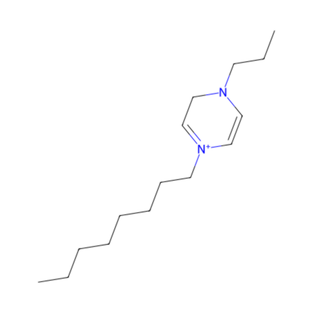 CCCCCCCC[N+]1=CCN(CCC)C=C1